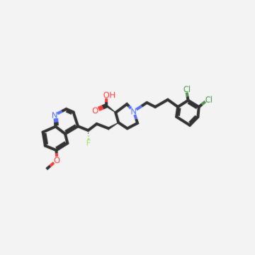 COc1ccc2nccc([C@@H](F)CC[C@@H]3CCN(CCCc4cccc(Cl)c4Cl)C[C@@H]3C(=O)O)c2c1